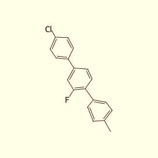 Cc1ccc(-c2ccc(-c3ccc(Cl)cc3)cc2F)cc1